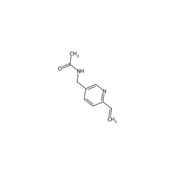 C=Cc1ccc(CNC(C)=O)cn1